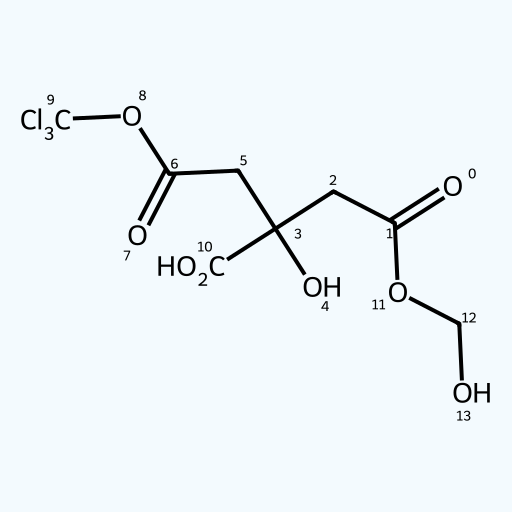 O=C(CC(O)(CC(=O)OC(Cl)(Cl)Cl)C(=O)O)OCO